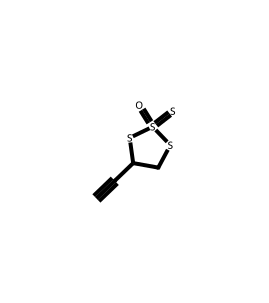 C#CC1CSS(=O)(=S)S1